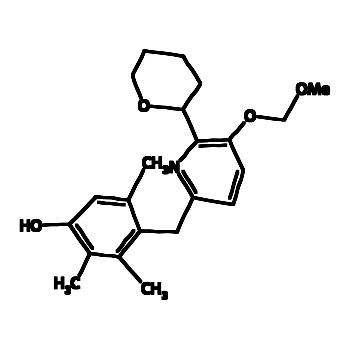 COCOc1ccc(Cc2c(C)cc(O)c(C)c2C)nc1C1CCCCO1